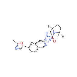 Cc1ncc(-c2ccc3cnc(NC(=O)N4[C@@H]5CC[C@H]4C[C@@H](N)C5)cc3c2)o1